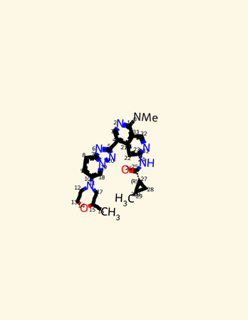 CNc1ncc(-c2nc3ccc(N4CCOC(C)C4)cn3n2)c2cc(NC(=O)[C@@H]3C[C@@H]3C)ncc12